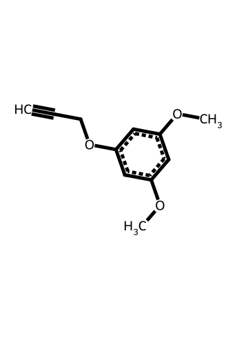 C#CCOc1cc(OC)cc(OC)c1